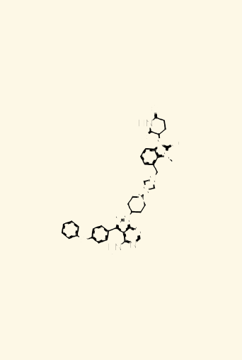 Cn1c(=O)n(C2CCC(=O)NC2=O)c2cccc(CN3CN(N4CCC(n5nc(-c6ccc(Oc7ccccc7)cc6)c6c(N)ncnc65)CC4)C3)c21